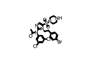 CC(=O)N(c1cc(Cl)cc(Cl)c1)c1ncc(S(=O)(=O)N2CCNCC2)n1CCc1ccc(Br)cc1